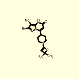 CC1(C)C=C(N2CCC(c3cc(=O)[nH]c4c(C#N)c(Br)nn34)CC2)O1